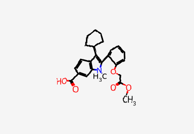 COC(=O)COc1ccccc1-c1c(C2CCCCC2)c2ccc(C(=O)O)cc2n1C